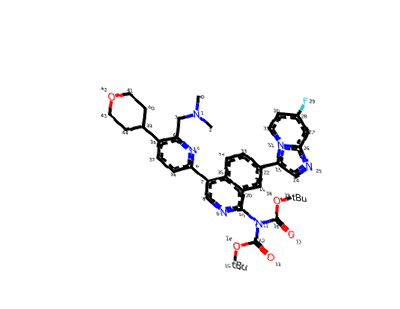 CN(C)Cc1nc(-c2cnc(N(C(=O)OC(C)(C)C)C(=O)OC(C)(C)C)c3cc(-c4cnc5cc(F)ccn45)ccc23)ccc1C1CCOCC1